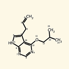 C=CCc1c[nH]c2ncnc(OCC(C)C)c12